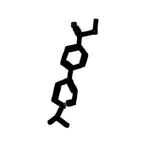 COC(=O)c1ccc(-c2cc[n+](C(C)C)cc2)cc1